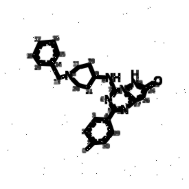 Cc1ccc(-c2nc(NC3CCN(Cc4ccccc4)CC3)n3[nH]c(=O)cc3n2)cc1